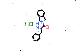 Cl.N[C@@H](Cc1ccccc1)C(=O)N1Cc2ccccc2C1